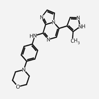 Cc1[nH]ncc1-c1cnc(Nc2ccc(N3CCOCC3)cc2)c2nccn12